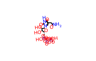 NC(=O)Cc1cn([C@@H]2O[C@H](COP(=O)(O)OP(=O)(O)OP(=O)(O)O)[C@@H](O)[C@H]2O)c(=O)[nH]c1=O